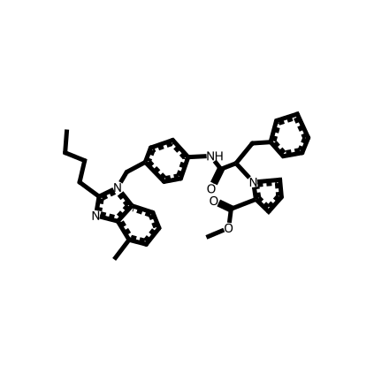 CCCCc1nc2c(C)cccc2n1Cc1ccc(NC(=O)C(Cc2ccccc2)n2cccc2C(=O)OC)cc1